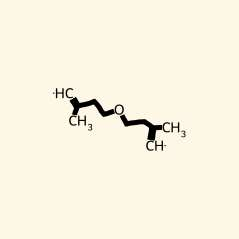 [CH]=C(C)CCOCCC(=[CH])C